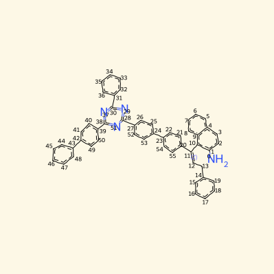 Nc1ccc2ccccc2c1/C(=C\Cc1ccccc1)c1ccc(-c2ccc(-c3nc(-c4ccccc4)nc(-c4ccc(-c5ccccc5)cc4)n3)cc2)cc1